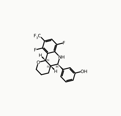 Oc1cccc([C@@H]2Nc3c(F)cc(C(F)(F)F)c(F)c3[C@H]3OCCC[C@H]32)c1